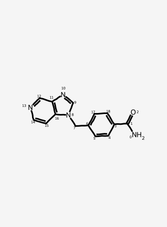 NC(=O)c1ccc(Cn2cnc3cnccc32)cc1